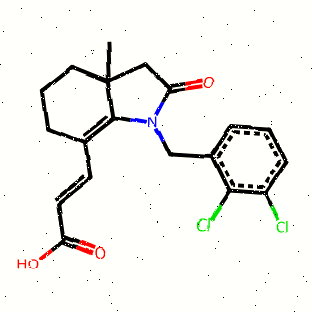 CC12CCCC(C=CC(=O)O)=C1N(Cc1cccc(Cl)c1Cl)C(=O)C2